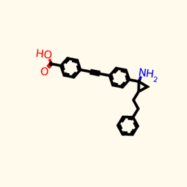 NC1(c2ccc(C#Cc3ccc(C(=O)O)cc3)cc2)CC1CCc1ccccc1